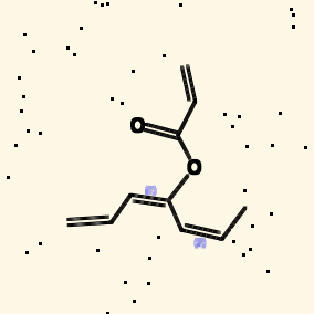 C=C/C=C(\C=C/C)OC(=O)C=C